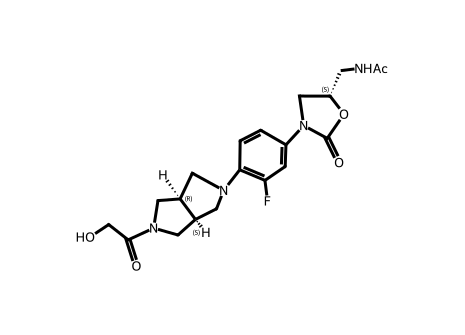 CC(=O)NC[C@H]1CN(c2ccc(N3C[C@H]4CN(C(=O)CO)C[C@H]4C3)c(F)c2)C(=O)O1